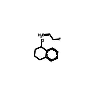 C=CCF.ClC1CCCc2ccccc21